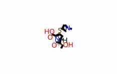 CC(O)[C@H]1C(=O)N2C(C(=O)O)=C(S[C@H]3CCN(C)C3)C[C@H]12